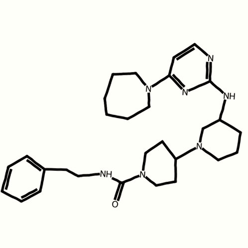 O=C(NCCc1ccccc1)N1CCC(N2CCCC(Nc3nccc(N4CCCCCC4)n3)C2)CC1